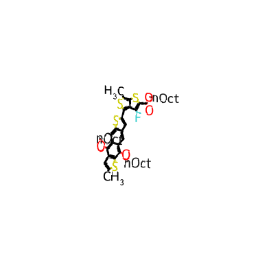 CCCCCCCCOC(=O)c1sc2c(C)sc(-c3cc4cc5c(OCCCCCCCC)c6sc(C)cc6c(OCCCCCCCC)c5cc4s3)c2c1F